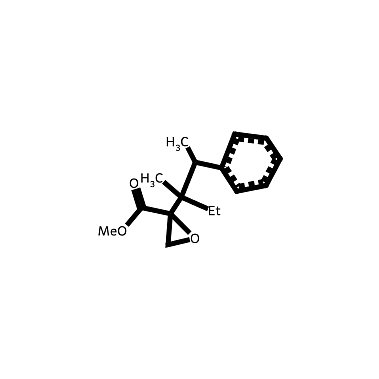 CCC(C)(C(C)c1ccccc1)C1(C(=O)OC)CO1